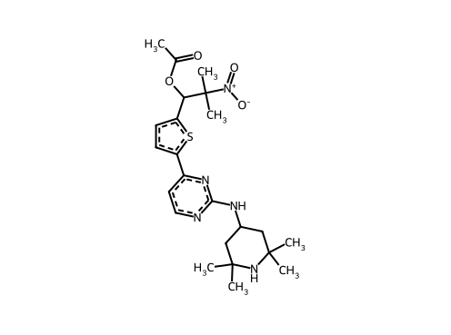 CC(=O)OC(c1ccc(-c2ccnc(NC3CC(C)(C)NC(C)(C)C3)n2)s1)C(C)(C)[N+](=O)[O-]